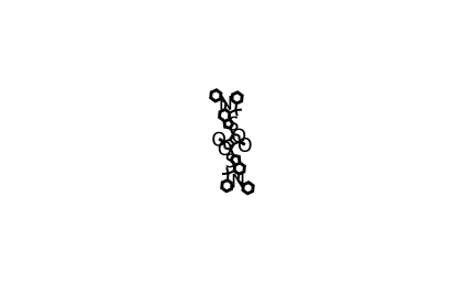 CC1(C)c2ccccc2N(c2ccccc2)c2ccc3cc(C4=C5C(=O)OC(c6cc7ccc8c(c7s6)C(C)(C)c6ccccc6N8c6ccccc6)=C5C(=O)O4)sc3c21